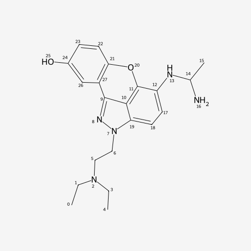 CCN(CC)CCn1nc2c3c(c(NC(C)N)ccc31)Oc1ccc(O)cc1-2